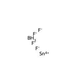 B.[F-].[F-].[F-].[F-].[Sn+4]